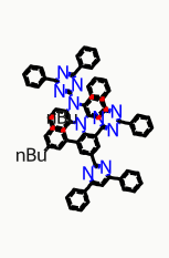 CCCCc1cc(CCCC)cc(-c2cc(-c3nc(-c4ccccc4)cc(-c4ccccc4)n3)cc(-c3nc(-c4ccccc4)nc(-c4ccccc4)n3)c2N2c3ccccc3N(c3nc(-c4ccccc4)nc(-c4ccccc4)n3)c3ccccc32)c1